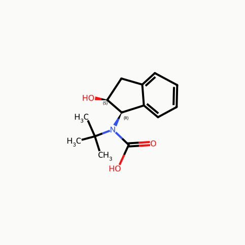 CC(C)(C)N(C(=O)O)[C@@H]1c2ccccc2C[C@@H]1O